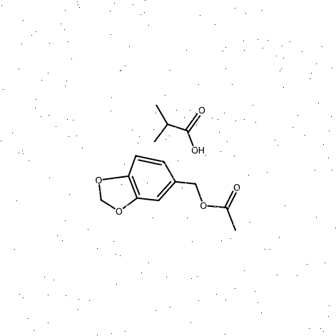 CC(=O)OCc1ccc2c(c1)OCO2.CC(C)C(=O)O